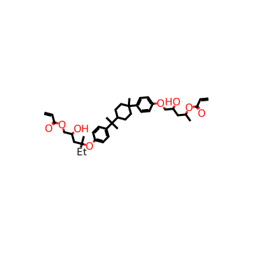 C=CC(=O)OCC(O)CC(C)(CC)Oc1ccc(C(C)(C)C2CCC(C)(c3ccc(OCC(O)CC(C)OC(=O)C=C)cc3)CC2)cc1